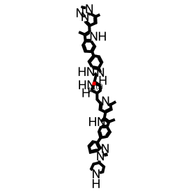 Cc1cc(-c2[nH]c3cc(-c4cccc5c4ncn5C4CCNCC4)ccc3c2C)cc(CC2C[C@H]3C[C@@H]2NC3c2nc3ccc(-c4ccc5c(C)c(-c6cc(C)c7ncnn7c6)[nH]c5c4)cc3[nH]2)n1